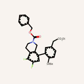 CCOC(=O)Cc1ccc(OC)c(-c2cc(F)c(F)c3c2CN(C(=O)OCc2ccccc2)CC3)c1